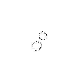 C1=CCCC=C1.c1ccccc1